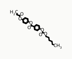 C=CC(=O)Oc1ccc(OC(=O)c2ccc(OC(=O)OCCCCCC)cc2)cc1